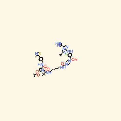 Cc1ncsc1-c1ccc(CNC(=O)[C@@H]2C[C@@H](OC(=O)C(C)C)CN2C(=O)[C@H](NC(=O)CCCCCCNC(=O)CN2CCN(C(O)c3ccc(Nc4nc(C5CC5)cn5c(-c6cn[nH]c6)cnc45)c(F)c3)CC2)C(C)(C)C)cc1